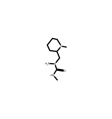 CNC(=O)N(N)CC1CCCCN1C